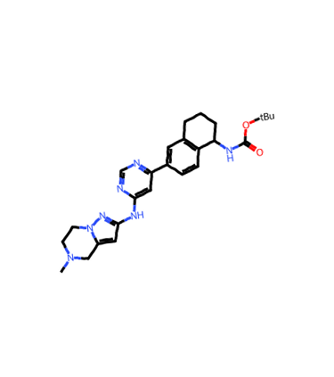 CN1CCn2nc(Nc3cc(-c4ccc5c(c4)CCCC5NC(=O)OC(C)(C)C)ncn3)cc2C1